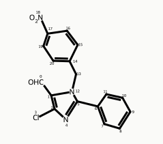 O=Cc1c(Cl)nc(-c2ccccc2)n1Cc1ccc([N+](=O)[O-])cc1